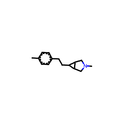 Cc1ccc(CCC2C3CN(C)CC23)cc1